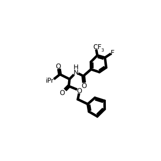 CC(C)C(=O)C(NC(=O)c1ccc(F)c(C(F)(F)F)c1)C(=O)OCc1ccccc1